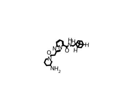 CC1(C)[C@@H]2CC[C@@H](CNC(=O)c3cccc4nc(CC(=O)N5CCCC(N)C5)cn34)[C@H]1C2